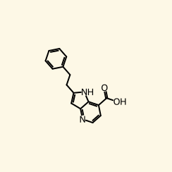 O=C(O)c1ccnc2cc(CCc3ccccc3)[nH]c12